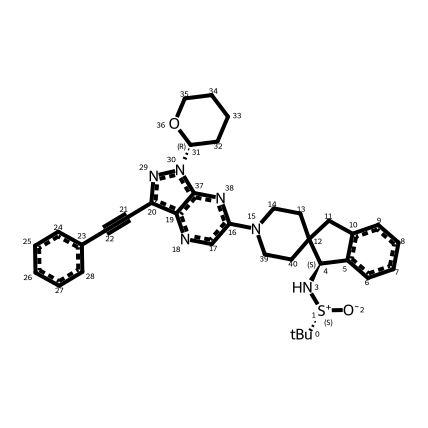 CC(C)(C)[S@@+]([O-])N[C@@H]1c2ccccc2CC12CCN(c1cnc3c(C#Cc4ccccc4)nn([C@H]4CCCCO4)c3n1)CC2